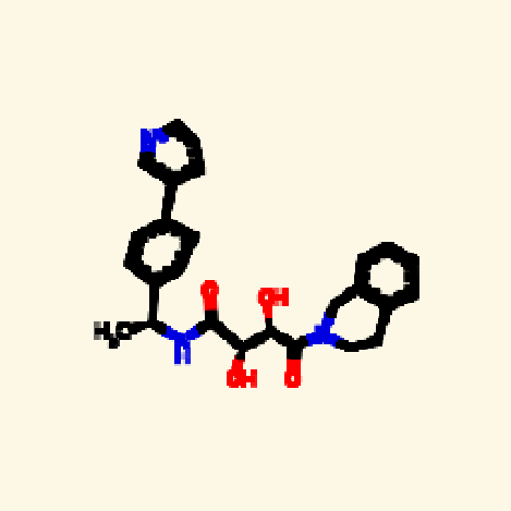 C[C@H](NC(=O)[C@H](O)[C@@H](O)C(=O)N1CCc2ccccc2C1)c1ccc(-c2cccnc2)cc1